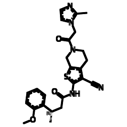 COc1ccccc1[C@@H](C)CC(=O)Nc1sc2c(c1C#N)CCN(C(=O)Cn1ccnc1C)C2